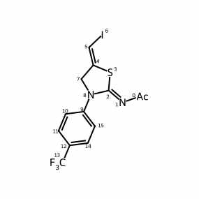 CC(=O)/N=C1\S/C(=C\I)CN1c1ccc(C(F)(F)F)cc1